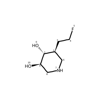 O[C@@H]1[C@@H](CCF)CNC[C@H]1O